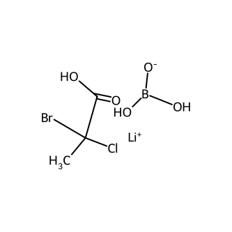 CC(Cl)(Br)C(=O)O.[Li+].[O-]B(O)O